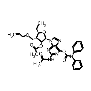 C=CCOC[C@H]1[C@@H](OC(C)=O)[C@H](n2cnc3c(OC(=O)N(c4ccccc4)c4ccccc4)nc(NC(C)=O)nc32)O[C@@H]1CC